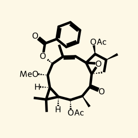 CO[C@H]1[C@H]2[C@@H]([C@@H](OC(C)=O)[C@H](C)C(=O)[C@@]34C[C@H](C)[C@H](OC(C)=O)C3(/C=C(/C)[C@H]1OC(=O)c1ccccc1)O4)C2(C)C